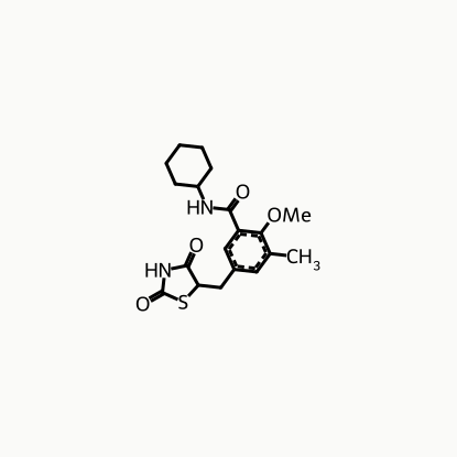 COc1c(C)cc(CC2SC(=O)NC2=O)cc1C(=O)NC1CCCCC1